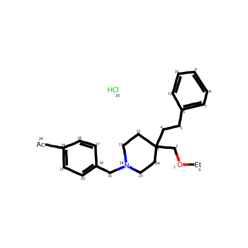 CCOCC1(CCc2ccccc2)CCN(Cc2ccc(C(C)=O)cc2)CC1.Cl